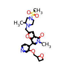 CC1CN(S(C)(=O)=O)CCN1Cc1cc2c(=O)n(C)cc(-c3ccncc3OCC3CCO3)c2o1